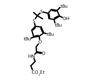 CCOC(=O)CCNC(=O)COc1c(C(C)(C)C)cc(SC(C)(C)Sc2cc(C(C)(C)C)c(O)c(C(C)(C)C)c2)cc1C(C)(C)C